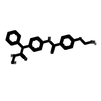 CCOc1ccc(C(=O)Nc2ccc(C(C(=O)NO)c3ccccc3)cc2)cc1